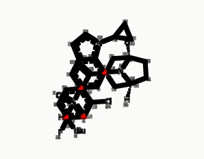 CC(C)(C)NS(=O)(=O)c1cc(N2[C@@H]3CC[C@H]2CN(C(=O)c2ccc(F)cc2Cl)C3)c2c(ccn2C2CC2)c1